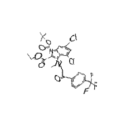 CCOC(=O)c1c(N(C)CC(=O)c2ccc(C(F)(F)F)cc2)c2c(Cl)cc(Cl)cc2n1C(=O)OC(C)(C)C